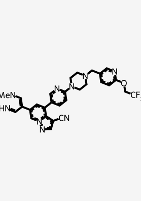 CN/C=C(\C=N)c1cc(-c2ccc(N3CCN(Cc4ccc(OCC(F)(F)F)nc4)CC3)nc2)c2c(C#N)cnn2c1